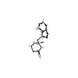 C[C@]1(Cn2ccc3cncnc32)CCCC(=O)C1